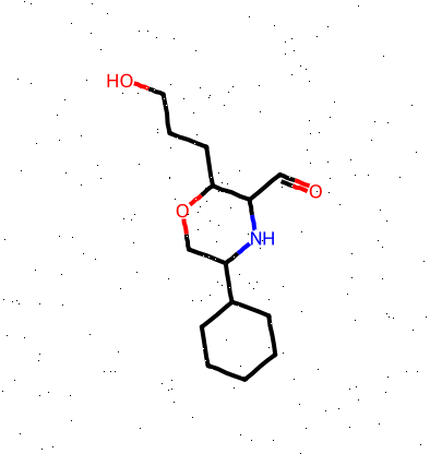 O=CC1NC(C2CCCCC2)COC1CCCO